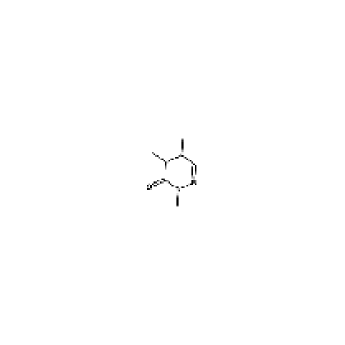 CC1[C]=NN(C)C(=O)C1C